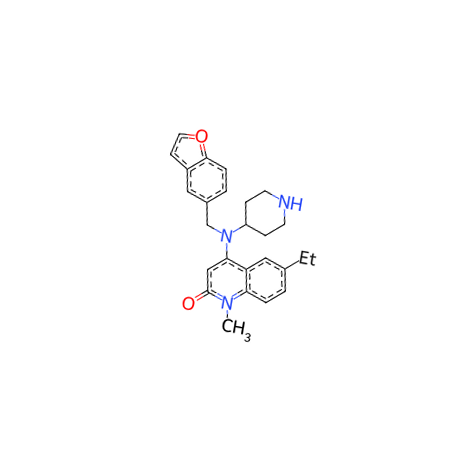 CCc1ccc2c(c1)c(N(Cc1ccc3occc3c1)C1CCNCC1)cc(=O)n2C